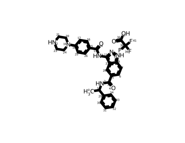 CC(NC(=O)c1ccc2[nH]nc(NC(=O)c3ccc(N4CCNCC4)cc3)c2c1)c1ccccc1.O=C(O)C(F)(F)F